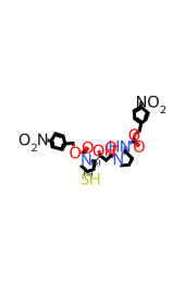 O=C(NC1CCCN1C(=O)CC(O)[C@@H]1C[C@H](S)CN1C(=O)OCc1ccc([N+](=O)[O-])cc1)OCc1ccc([N+](=O)[O-])cc1